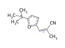 C/C(C#N)=C/c1ccc(S(C)(C)C)o1